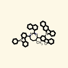 CC1CC/C(c2cccc3c2c2ccccc2n3-c2ccccc2)=N\C(c2cccc3ccccc23)=N/C1c1cc(-n2c3ccccc3c3cc4ccccc4cc32)c2c(c1)oc1ccccc12